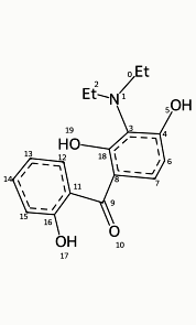 CCN(CC)c1c(O)ccc(C(=O)c2ccccc2O)c1O